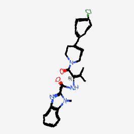 CC(C)[C@@H](NC(=O)c1nc2ccccc2n1C)C(=O)N1CCC(c2ccc(Cl)cc2)CC1